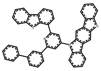 c1ccc(-c2cccc(-c3cc(-n4c5ccccc5c5cc6oc7ccccc7c6cc54)cc(-c4cccc5c4sc4ccccc45)n3)c2)cc1